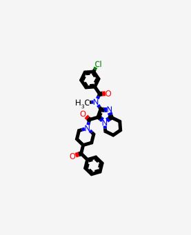 CN(C(=O)c1cccc(Cl)c1)c1nc2n(c1C(=O)N1CCC(C(=O)c3ccccc3)CC1)CCCC2